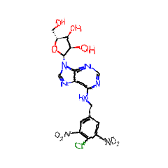 O=[N+]([O-])c1cc(CNc2ncnc3c2ncn3[C@@H]2O[C@H](CO)[C@@H](O)[C@H]2O)cc([N+](=O)[O-])c1Cl